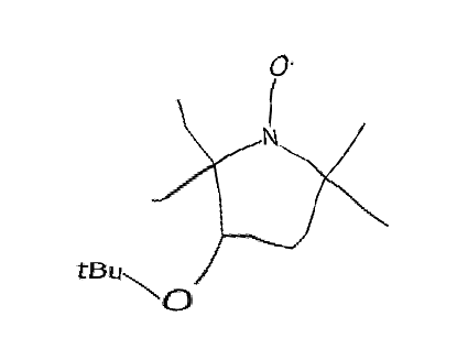 CC(C)(C)OC1CC(C)(C)N([O])C1(C)C